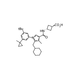 Cc1c(C(=O)N[C@H]2C[C@H](C(=O)O)C2)cn(-c2cc(C(C)(C)C)cc(C3(C)CC3)c2)c1CC1CCCCC1